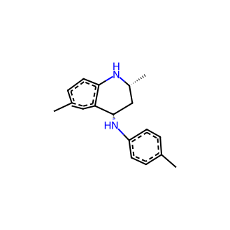 Cc1ccc(N[C@H]2C[C@@H](C)Nc3ccc(C)cc32)cc1